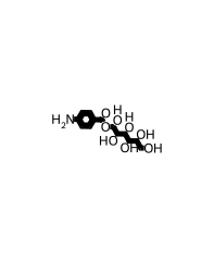 Nc1ccc(C(=O)OC(O)[C@@H](O)[C@@H](O)[C@H](O)[C@H](O)CO)cc1